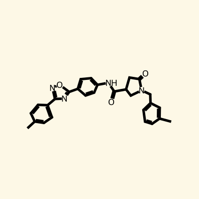 Cc1ccc(-c2noc(-c3ccc(NC(=O)C4CC(=O)N(Cc5cccc(C)c5)C4)cc3)n2)cc1